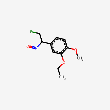 CCOc1cc(C(CF)N=O)ccc1OC